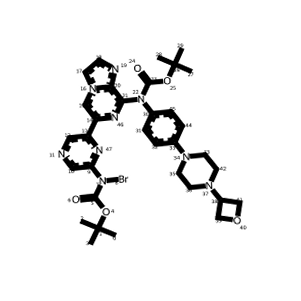 CC(C)(C)OC(=O)N(Br)c1cncc(-c2cn3ccnc3c(N(C(=O)OC(C)(C)C)c3ccc(N4CCN(C5COC5)CC4)cc3)n2)n1